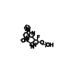 COc1ccc(CN2C3CC2CN(c2ccc(-c4c(F)c(OCC(C)(C)O)cn5ncc(C#N)c45)cn2)C3)cn1